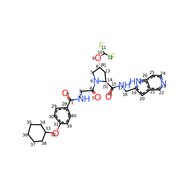 O=C(NCC(=O)N1C[C@H](OC(F)F)C[C@H]1C(=O)NCc1cc2cnccc2[nH]1)c1ccc(OC2CCCCC2)cc1